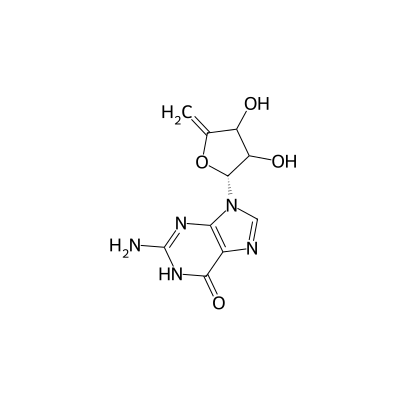 C=C1O[C@@H](n2cnc3c(=O)[nH]c(N)nc32)C(O)C1O